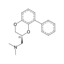 CN(C)C[C@H]1COc2cccc(-c3ccccc3)c2O1